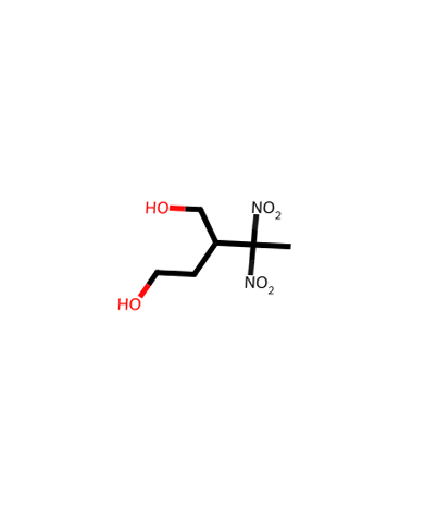 CC(C(CO)CCO)([N+](=O)[O-])[N+](=O)[O-]